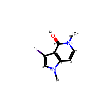 CC(C)n1ccc2c(c(I)cn2C)c1=O